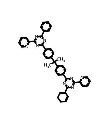 CC(C)(c1ccc(-c2nc(C3=CCCC=C3)nc(-c3ccccn3)n2)cc1)c1ccc(-c2nc(-c3ccccc3)nc(-c3ccccn3)n2)cc1